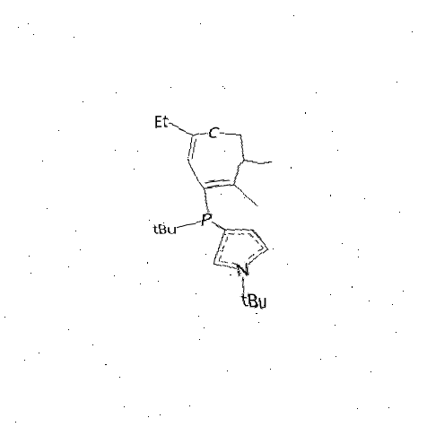 CCC1=CC(P(c2ccn(C(C)(C)C)c2)C(C)(C)C)=C(C)C(C)CC1